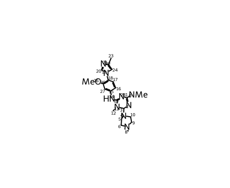 CNC1=NC(N2CCN(C)CC2)N(C)C(Nc2ccc(-n3cnc(C)c3)c(OC)c2)=N1